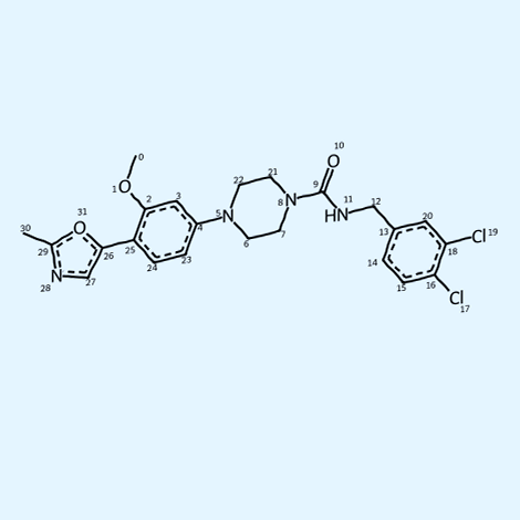 COc1cc(N2CCN(C(=O)NCc3ccc(Cl)c(Cl)c3)CC2)ccc1-c1cnc(C)o1